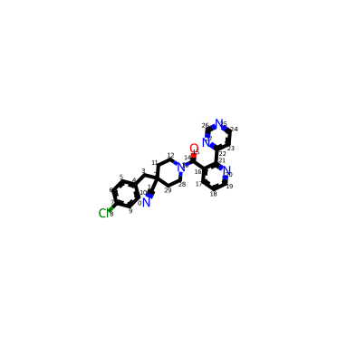 N#CC1(Cc2ccc(Cl)cc2)CCN(C(=O)c2cccnc2-c2ccncn2)CC1